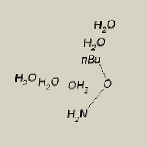 CCCCON.O.O.O.O.O